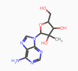 CC1(O)C(O)C(CO)OC1n1cnc2c(N)ncnc21